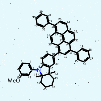 COc1cccc(N2c3ccc(-c4cc(-c5ccccc5)c5ccc6ccc(-c7ccccc7)c7ccc4c5c67)cc3C3(C)CCCCC23C)c1